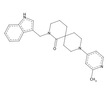 Cc1cc(N2CCC3(CCCN(Cc4c[nH]c5ccccc45)C3=O)CC2)ccn1